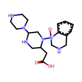 O=C(O)CC1CNC(N2CCNCC2)CN1[N+]1([O-])CNCc2ccccc21